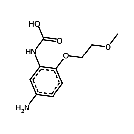 COCCOc1ccc(N)cc1NC(=O)O